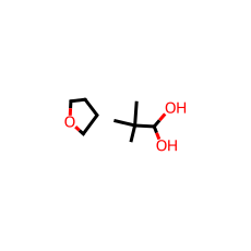 C1CCOC1.CC(C)(C)C(O)O